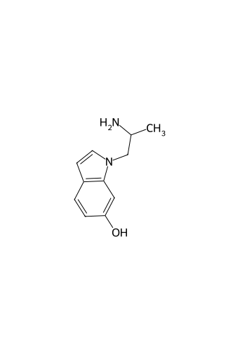 CC(N)Cn1ccc2ccc(O)cc21